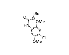 COc1cc(NC(=O)OC(C)(C)C)c(OC)cc1Cl